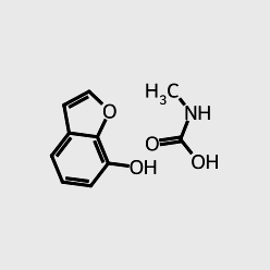 CNC(=O)O.Oc1cccc2ccoc12